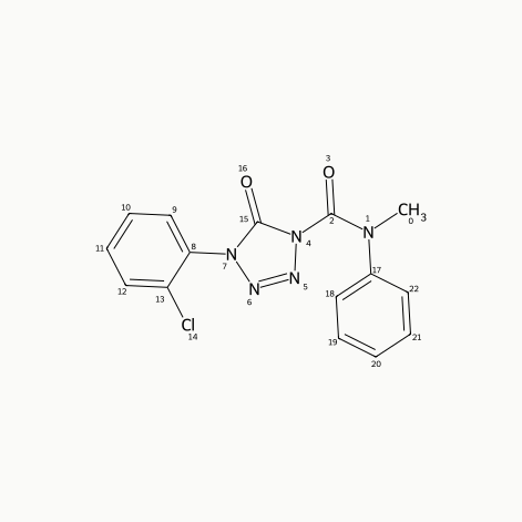 CN(C(=O)n1nnn(-c2ccccc2Cl)c1=O)c1ccccc1